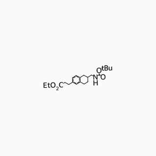 CCOC(=O)CCc1ccc2c(c1)CCC(CNC(=O)OC(C)(C)C)C2